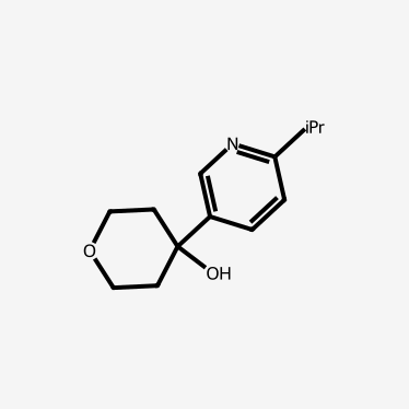 CC(C)c1ccc(C2(O)CCOCC2)cn1